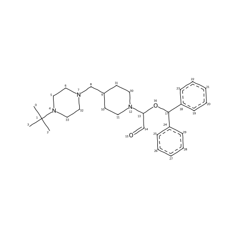 CC(C)(C)N1CCN(CC2CCN(C(C=O)OC(c3ccccc3)c3ccccc3)CC2)CC1